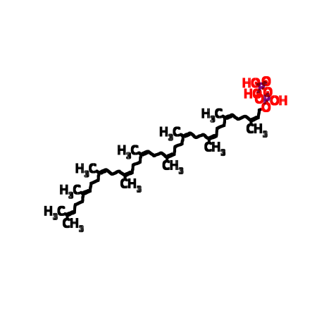 CC(C)=CCC/C(C)=C/CC/C(C)=C\CC/C(C)=C\CC/C(C)=C\CC/C(C)=C\CC/C(C)=C\CC/C(C)=C\CC/C(C)=C\CC/C(C)=C\COP(=O)(O)OP(=O)(O)O